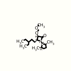 CCC(CC)CC[C@H]1[C@@H](OCOC)C(=O)N1N1[C@H](C)CC[C@H]1C